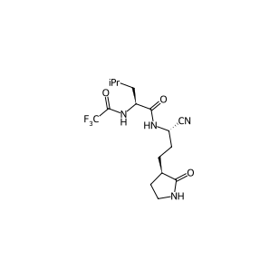 CC(C)C[C@H](NC(=O)C(F)(F)F)C(=O)N[C@H](C#N)CC[C@@H]1CCNC1=O